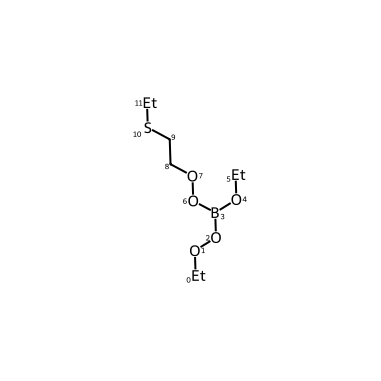 CCOOB(OCC)OOCCSCC